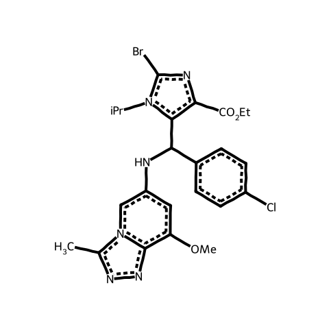 CCOC(=O)c1nc(Br)n(C(C)C)c1C(Nc1cc(OC)c2nnc(C)n2c1)c1ccc(Cl)cc1